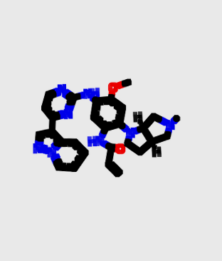 C=CC(=O)Nc1cc(Nc2nccc(-c3cnn4ccccc34)n2)c(OC)cc1N1CC[C@@H]2CN(C)C[C@@H]21